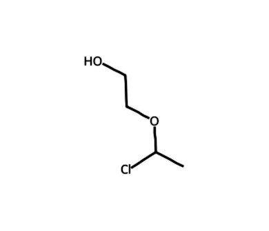 CC(Cl)OCCO